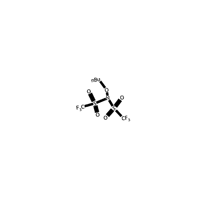 CCCCON(S(=O)(=O)C(F)(F)F)S(=O)(=O)C(F)(F)F